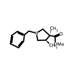 COC(=O)[C@]1(C)CN(Cc2ccccc2)C[C@@H]1C